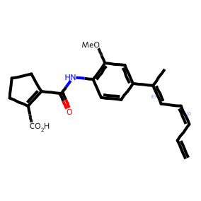 C=C/C=C\C=C(/C)c1ccc(NC(=O)C2=C(C(=O)O)CCC2)c(OC)c1